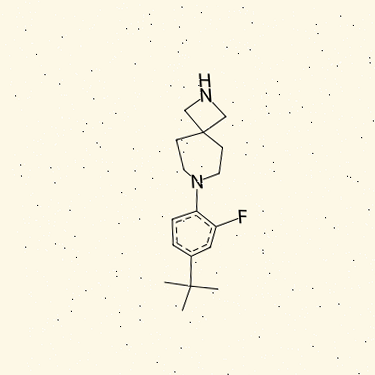 CC(C)(C)c1ccc(N2CCC3(CC2)CNC3)c(F)c1